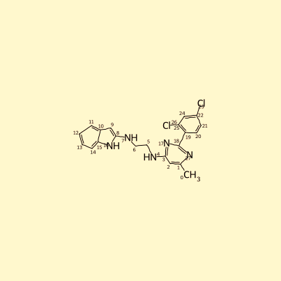 Cc1cc(NCCNc2cc3ccccc3[nH]2)nc(-c2ccc(Cl)cc2Cl)n1